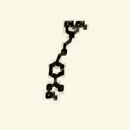 CCN(CC)CCOCc1ccc(C(=O)OC)cc1